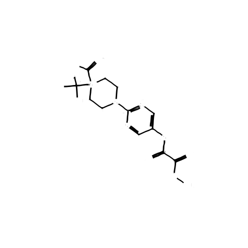 COC(=O)C(=O)Nc1cnc(N2CC[N+](C(=O)[O-])(C(C)(C)C)CC2)nc1